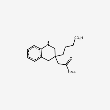 COC(=O)CC1(CCCC(=O)O)CNc2ccccc2C1